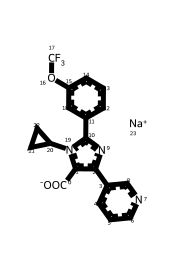 O=C([O-])c1c(-c2cccnc2)nc(-c2cccc(OC(F)(F)F)c2)n1C1CC1.[Na+]